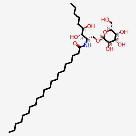 CCCCCCCCCCCCCCCCCCCCC(=O)N[C@@H](CO[C@H]1O[C@H](CO)[C@H](O)[C@H](O)[C@H]1O)[C@H](O)[C@H](O)CCCCC